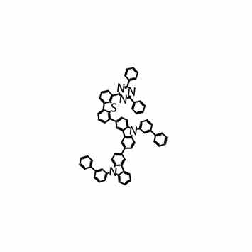 c1ccc(-c2cccc(-n3c4ccccc4c4cc(-c5ccc6c(c5)c5cc(-c7cccc8c7sc7c(-c9nc(-c%10ccccc%10)nc(-c%10ccccc%10)n9)cccc78)ccc5n6-c5cccc(-c6ccccc6)c5)ccc43)c2)cc1